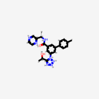 Cc1ccc(-c2cc(C(=O)N[C@@H](C)c3cnccn3)cc(-n3nnnc3C(C)O)c2)cc1